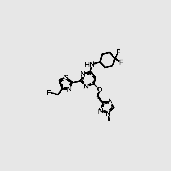 Cn1cnc(COc2cc(NC3CCC(F)(F)CC3)nc(-c3nc(CF)cs3)n2)n1